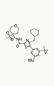 CC(C)(C)c1cc(-c2sc(C(=O)NCC3(S(C)(=O)=O)CCOCC3)nc2CC2CCCCC2)cc(C2(C)CC2)c1